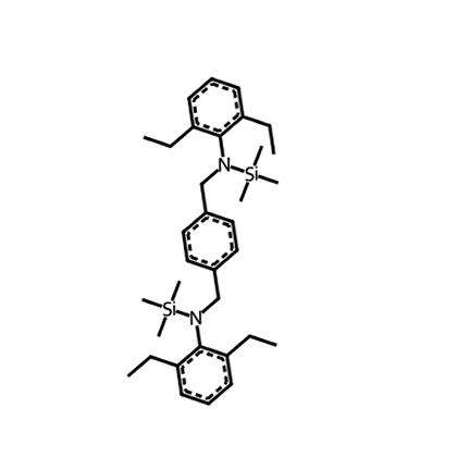 CCc1cccc(CC)c1N(Cc1ccc(CN(c2c(CC)cccc2CC)[Si](C)(C)C)cc1)[Si](C)(C)C